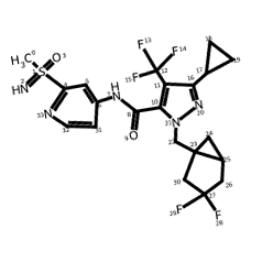 CS(=N)(=O)c1cc(NC(=O)c2c(C(F)(F)F)c(C3CC3)nn2CC23CC2CC(F)(F)C3)ccn1